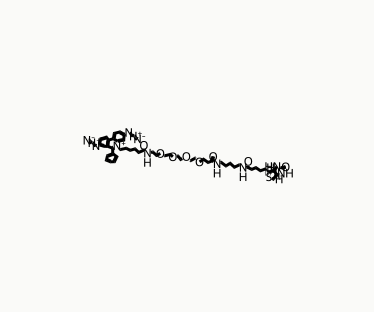 [N-]=[N+]=Nc1ccc2c(c1)c(-c1ccccc1)[n+](CCCCCC(=O)NCCOCCOCCOCCOCCC(=O)NCCCCCNC(=O)CCCC[C@@H]1SC[C@@H]3NC(=O)N[C@@H]31)c1cc(N=[N+]=[N-])ccc21